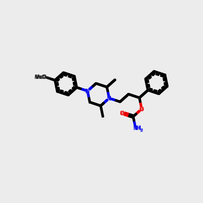 COc1ccc(N2CC(C)N(CCC(OC(N)=O)c3ccccc3)C(C)C2)cc1